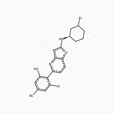 CCN1CCC[C@@H](Nc2nc3nc(-c4c(O)cc(C#N)cc4Cl)ccc3o2)C1